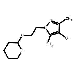 Cc1nn(CCOC2CCCCO2)c(C)c1O